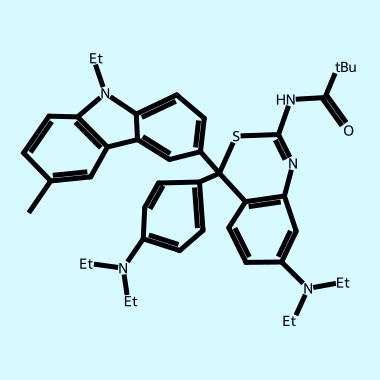 CCN(CC)c1ccc(C2(c3ccc4c(c3)c3cc(C)ccc3n4CC)SC(NC(=O)C(C)(C)C)=Nc3cc(N(CC)CC)ccc32)cc1